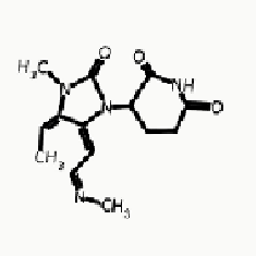 C\C=c1/c(=C\C=N/C)n(C2CCC(=O)NC2=O)c(=O)n1C